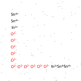 [In+3].[In+3].[O-2].[O-2].[O-2].[O-2].[O-2].[O-2].[O-2].[O-2].[O-2].[O-2].[O-2].[Sn+4].[Sn+4].[Sn+4].[Sn+4]